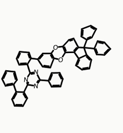 c1ccc(-c2nc(-c3ccccc3-c3ccccc3)nc(-c3ccccc3-c3ccc4c(c3)Oc3ccc5c(c3O4)-c3ccccc3C5(c3ccccc3)c3ccccc3)n2)cc1